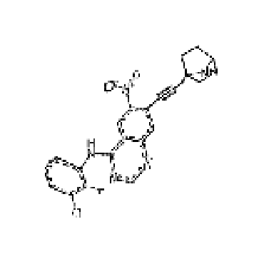 O=[N+]([O-])c1cc2c(Nc3cccc(Cl)c3F)ncnc2cc1C#CC12CCC(CC1)N2